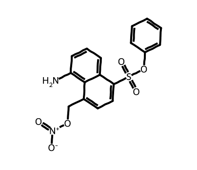 Nc1cccc2c(S(=O)(=O)Oc3ccccc3)ccc(CO[N+](=O)[O-])c12